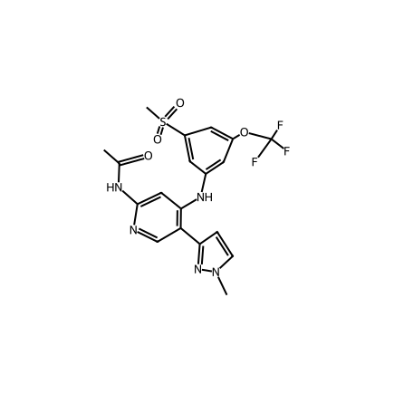 CC(=O)Nc1cc(Nc2cc(OC(F)(F)F)cc(S(C)(=O)=O)c2)c(-c2ccn(C)n2)cn1